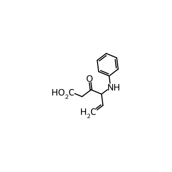 C=CC(Nc1ccccc1)C(=O)CC(=O)O